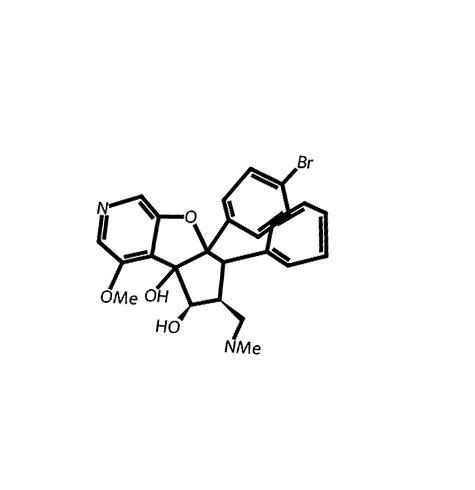 CNC[C@@H]1C(c2ccccc2)C2(c3ccc(Br)cc3)Oc3cncc(OC)c3C2(O)[C@@H]1O